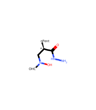 CCCCC[C@H](CN(O)C=O)C(=O)NN